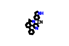 N#Cc1cncc(-c2ccccc2-c2ccccc2)c1N(c1ccc2[nH]ccc2c1)C1CC1